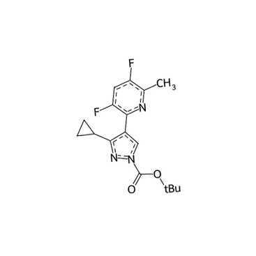 Cc1nc(-c2cn(C(=O)OC(C)(C)C)nc2C2CC2)c(F)cc1F